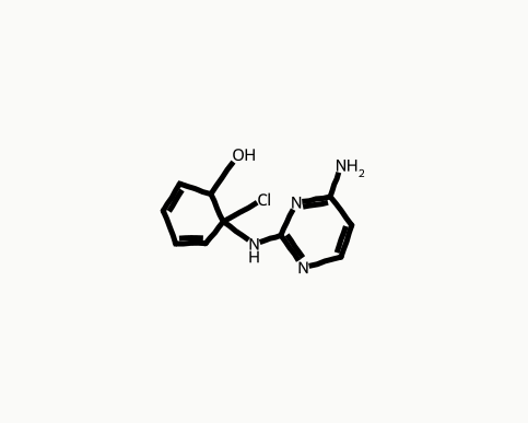 Nc1ccnc(NC2(Cl)C=CC=CC2O)n1